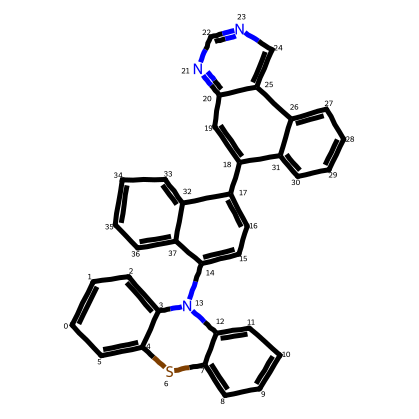 c1ccc2c(c1)Sc1ccccc1N2c1ccc(-c2cc3ncncc3c3ccccc23)c2ccccc12